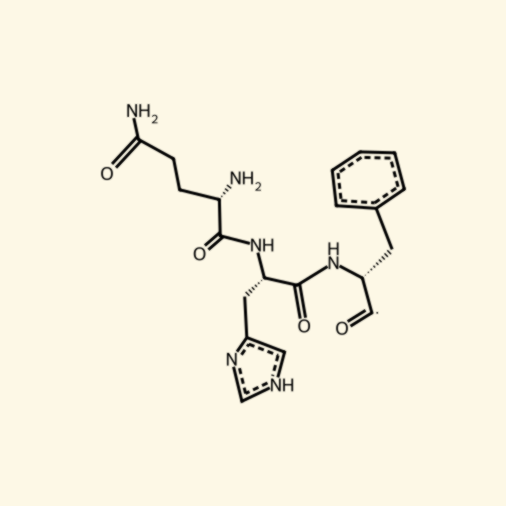 NC(=O)CC[C@H](N)C(=O)N[C@@H](Cc1c[nH]cn1)C(=O)N[C@@H]([C]=O)Cc1ccccc1